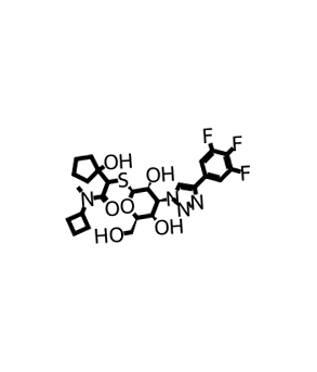 CN(C(=O)C(S[C@@H]1O[C@H](CO)[C@H](O)[C@H](n2cc(-c3cc(F)c(F)c(F)c3)nn2)[C@H]1O)C1(O)CCCC1)C1CCC1